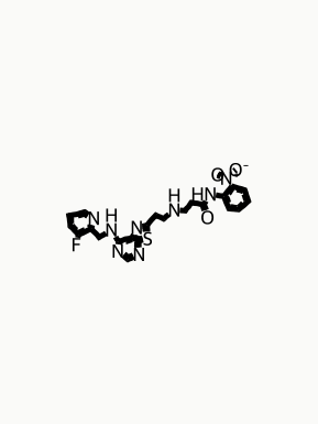 O=C(CCNCCc1nc2c(NCc3ncccc3F)ncnc2s1)Nc1ccccc1[N+](=O)[O-]